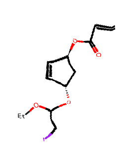 C=CC(=O)O[C@@H]1C=C[C@@H](OC(CI)OCC)C1